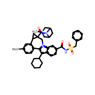 COc1ccc2c(c1)C1CC1(C(=O)N1C3CC1CN(C)C3)Cn1c-2c(C2CCCCC2)c2ccc(C(=O)NS(=O)(=O)Cc3ccccc3)cc21